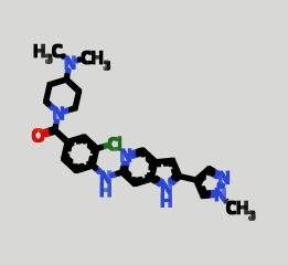 CN(C)C1CCN(C(=O)c2ccc(Nc3cc4[nH]c(-c5cnn(C)c5)cc4cn3)c(Cl)c2)CC1